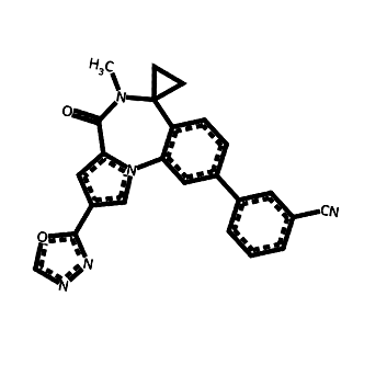 CN1C(=O)c2cc(-c3nnco3)cn2-c2cc(-c3cccc(C#N)c3)ccc2C12CC2